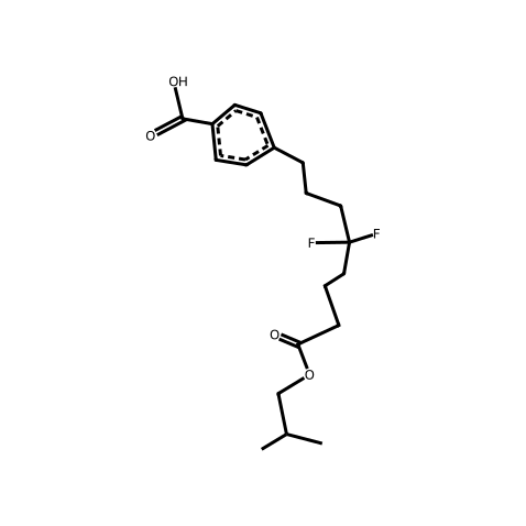 CC(C)COC(=O)CCCC(F)(F)CCCc1ccc(C(=O)O)cc1